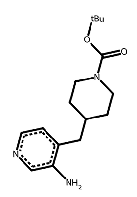 CC(C)(C)OC(=O)N1CCC(Cc2ccncc2N)CC1